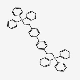 C(=C\[Si](c1ccccc1)(c1ccccc1)c1ccccc1)/c1ccc(-c2ccc(/C=C/[Si](c3ccccc3)(c3ccccc3)c3ccccc3)cc2)cc1